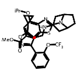 COC(=O)c1cc(OC(C)C)c2nc(N3C4CCC3CC(NCc3c(-c5ccccc5OC(F)(F)F)noc3C3CC3)C4)sc2c1